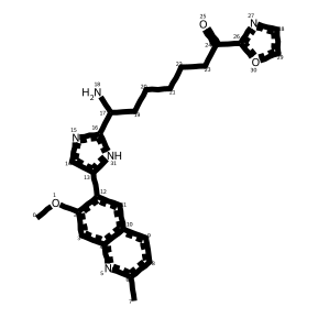 COc1cc2nc(C)ccc2cc1-c1cnc(C(N)CCCCCC(=O)c2ncco2)[nH]1